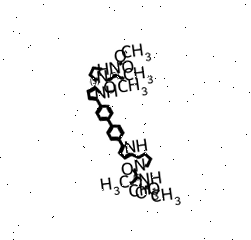 COC(=O)N[C@H](C(=O)N1CCCC1c1ccc(-c2ccc(-c3ccc(-c4ccc([C@@H]5CCCN5C(=O)[C@@H](NC(=O)OC)C(C)C)[nH]4)cc3)cc2)[nH]1)C(C)C